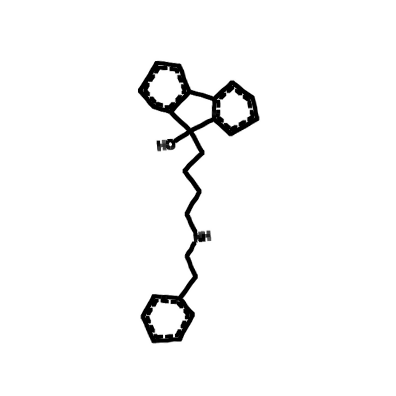 OC1(CCCCNCCc2ccccc2)c2ccccc2-c2ccccc21